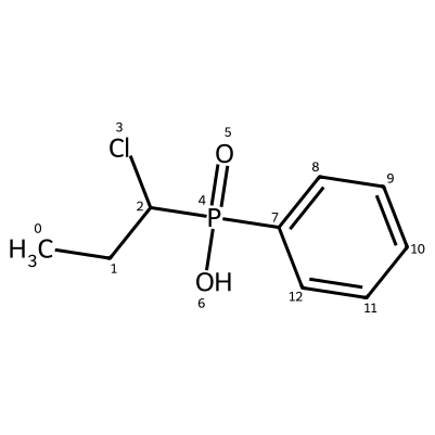 CCC(Cl)P(=O)(O)c1ccccc1